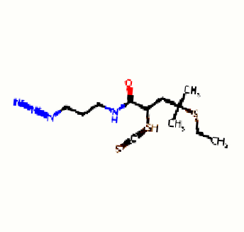 CCSC(C)(C)CC([SH]=C=S)C(=O)NCCCN=[N+]=[N-]